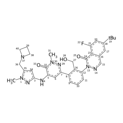 Cn1nc(Nc2cc(-c3cccc(-n4ncc5cc(C(C)(C)C)cc(F)c5c4=O)c3CO)nn(C)c2=O)cc1CN1CCC1